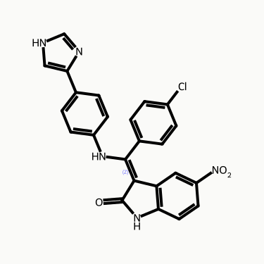 O=C1Nc2ccc([N+](=O)[O-])cc2/C1=C(/Nc1ccc(-c2c[nH]cn2)cc1)c1ccc(Cl)cc1